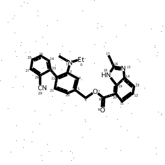 CCN(C)c1cc(COC(=O)c2cccc3nc(C)[nH]c23)ccc1-c1ccccc1C#N